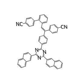 N#Cc1ccc(/C(=C\c2ccccc2-c2ccc(C#N)cc2)c2ccc(-c3nc(-c4ccc5ccccc5c4)nc(-c4ccc5ccccc5c4)n3)cc2)cc1